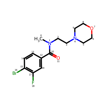 CN(CCN1CCOCC1)C(=O)c1ccc(Br)c(F)c1